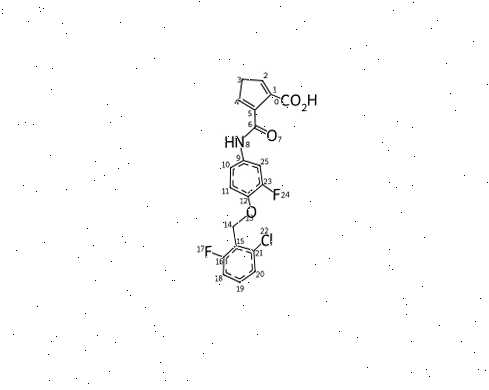 O=C(O)C1=CCC=C1C(=O)Nc1ccc(OCc2c(F)cccc2Cl)c(F)c1